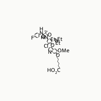 CCN(CC)CC.COc1cc2c(Oc3ccc(NC(=O)C4(C(=O)Nc5ccc(F)cc5)CC4)cc3Cl)ccnc2cc1OCCCCCCC(=O)O